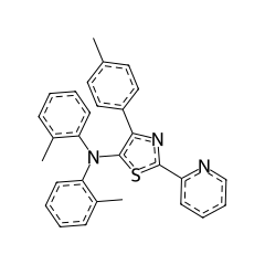 Cc1ccc(-c2nc(-c3ccccn3)sc2N(c2ccccc2C)c2ccccc2C)cc1